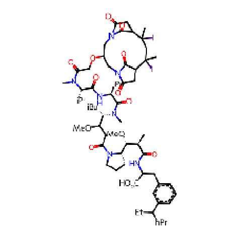 CCCC(CC)c1cccc(CC(NC(=O)[C@H](C)[C@@H](OC)[C@@H]2CCCN2C(=O)C[C@@H](OC)[C@H]([C@@H](C)CC)N(C)C(=O)[C@@H](NC(=O)[C@H](C(C)C)N(C)C(=O)COC2CN3C(=O)CC(C3=O)C(C)(I)CC(C)(I)C3CC(=O)N(C2)C3=O)C(C)C)C(=O)O)c1